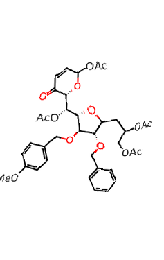 COc1ccc(CO[C@H]2[C@H]([C@H](OC(C)=O)[C@H]3OC(OC(C)=O)C=CC3=O)OC(C[C@H](COC(C)=O)OC(C)=O)[C@@H]2OCc2ccccc2)cc1